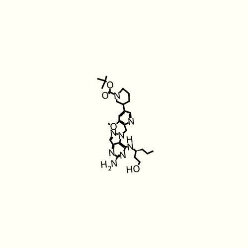 CCC[C@@H](CCO)Nc1nc(N)nc2cnn(Cc3ncc(C4CCCN(C(=O)OC(C)(C)C)C4)cc3OC)c12